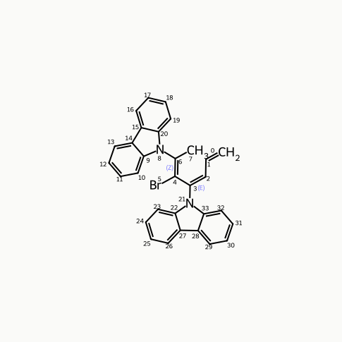 C=C/C=C(\C(Br)=C(/C)n1c2ccccc2c2ccccc21)n1c2ccccc2c2ccccc21